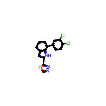 Clc1ccc(-c2cccc3cc(-c4nnco4)[nH]c23)cc1Cl